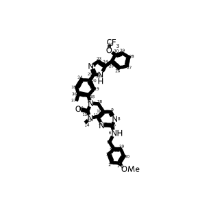 COc1ccc(CNc2ncc3c(n2)N(C)C(=O)N(c2cc(-c4ncc(-c5ccccc5OC(F)(F)F)[nH]4)ccc2C)C3)cc1